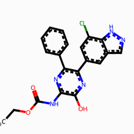 CCOC(=O)Nc1nc(-c2ccccc2)c(-c2cc(Cl)c3[nH]ncc3c2)nc1O